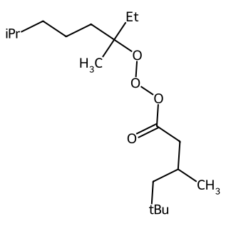 CCC(C)(CCCC(C)C)OOOC(=O)CC(C)CC(C)(C)C